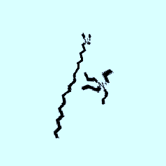 CCCCCCCCCCCCCCCCCC[N+](C)(C)C.CCC[N+](CCC)(CCC)CCC